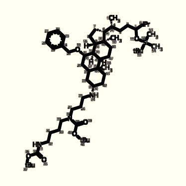 CC(C)C(CC[C@@H](C)[C@H]1CC[C@H]2[C@@H]3[C@H](OCc4ccccc4)CC4C[C@@H](NCCCN(CCCCNC(=O)OC(C)(C)C)C(=O)OC(C)(C)C)CC[C@]4(C)[C@H]3CC[C@]12C)O[Si](C)(C)C(C)(C)C